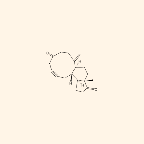 C=C1CCC(=O)CC#CC[C@@H]2[C@@H]1CC[C@]1(C)C(=O)CC[C@@H]21